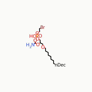 CCCCCCCCCCCCCCCCCCOCC(COP(=O)(O)OCCBr)OC(N)=O